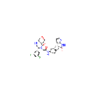 O=C(CN1C(=O)C2(CCOCC2)NC[C@H]1c1cc(F)cc(F)c1)Nc1ccc2c(c1)C[C@@]1(C2)C(=O)Nc2ncccc21